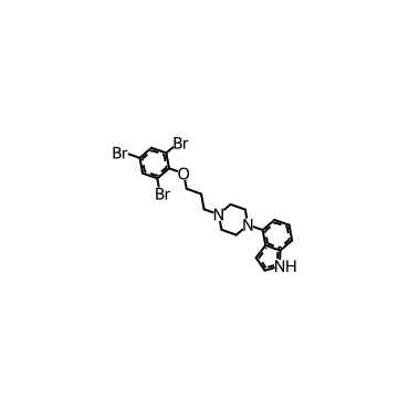 Brc1cc(Br)c(OCCCN2CCN(c3cccc4[nH]ccc34)CC2)c(Br)c1